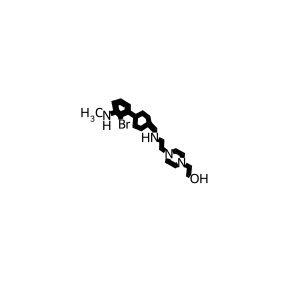 CNc1cccc(C2CCC(=CNCCN3CCN(CCO)CC3)CC2)c1Br